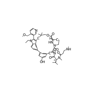 CCn1c(-c2cnccc2COC)c2c3cc(ccc31)-c1cc(O)cc(c1)C[C@H](NC(=O)[C@H](C(C)C)N(C)C(=O)CCNC)C(=O)N1CCC[C@H](N1)C(=O)OCC(C)(C)C2